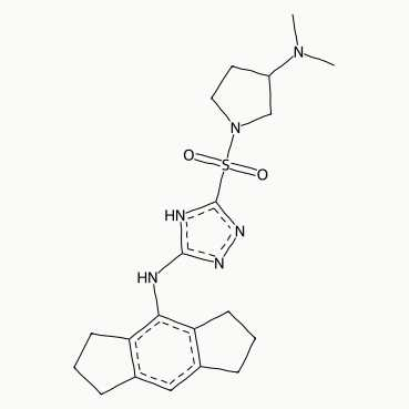 CN(C)C1CCN(S(=O)(=O)c2nnc(Nc3c4c(cc5c3CCC5)CCC4)[nH]2)C1